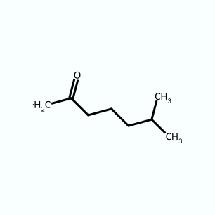 [CH2]C(=O)CCCC(C)C